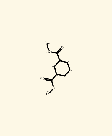 CC(C)OC(=O)C1CCCC(C(=O)OC(C)C)C1